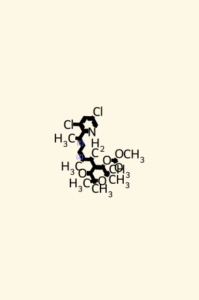 C=C(C1=C(OC(=O)OC)C(C)(C)OC(C)(C)C1=O)/C(C)=C\C=C(/C)c1ncc(Cl)cc1Cl